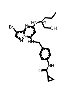 CCC[C@@H](CO)Nc1cc(NCc2ccc(NC(=O)C3CC3)cc2)n2ncc(Br)c2n1